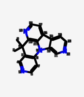 CC1(C)c2cnccc2-n2c3cnccc3c3ccnc1c32